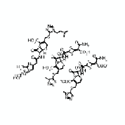 CN(C)CCn1nnnc1SCC1=C(C(=O)O)N2C(=O)[C@@H](NC(=O)Cc3csc(N)n3)[C@H]2SC1.CO[C@@]1(NC(=O)C2SC(=C(C(N)=O)C(=O)O)S2)C(=O)N2C(C(=O)O)=C(CSc3nnnn3C)CS[C@@H]21.CO[C@@]1(NC(=O)C2SC(=C(C(N)=O)C(=O)[O-])S2)C(=O)N2C(C(=O)[O-])=C(CSc3nnnn3C)CS[C@@H]21.Cl.Cl.[Na+].[Na+]